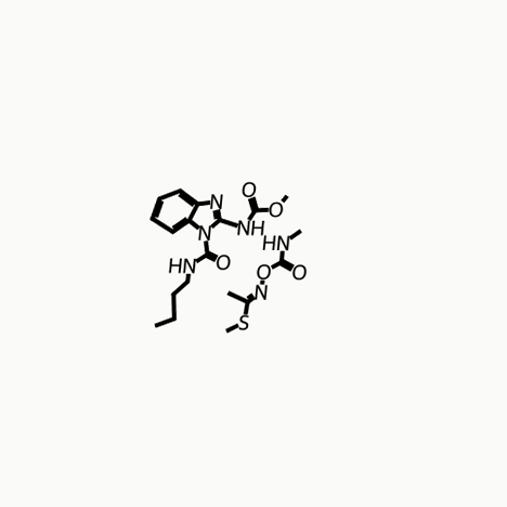 CCCCNC(=O)n1c(NC(=O)OC)nc2ccccc21.CNC(=O)O/N=C(\C)SC